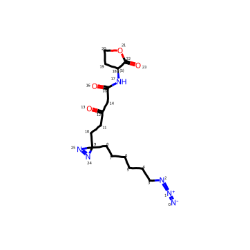 [N-]=[N+]=NCCCCCCC1(CCC(=O)CC(=O)N[C@H]2CCOC2=O)N=N1